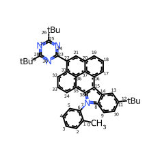 Cc1ccccc1-n1c2ccc(C(C)(C)C)cc2c2c3cccc4cc(-c5nc(C(C)(C)C)nc(C(C)(C)C)n5)c5cccc(c5c43)c21